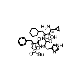 CC(C)(C)S(=O)(=O)C[C@@H](Cc1ccccc1)C(=O)N[C@@H](Cc1c[nH]cn1)C(=O)N[C@@H](CC1CCCCC1)[C@H](O)[C@@H](N)C1CC1